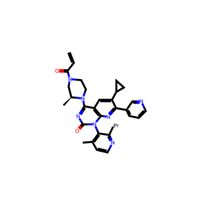 C=CC(=O)N1CCN(c2nc(=O)n(-c3c(C)ccnc3C(C)C)c3nc(-c4cccnc4)c(C4CC4)cc23)[C@@H](C)C1